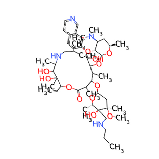 CCCNC[C@]1(O)[C@H](C)O[C@@H](OC2C(C)C(=O)OC(CC)C(C)(O)C(O)C(C)NCC(C)CC(C)(O)C(O[C@@H]3O[C@H](C)C[C@H](N(C)C)[C@H]3Oc3ccc4ccncc4c3)C2C)C[C@@]1(C)OC